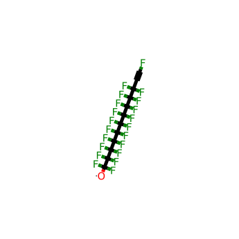 [O]C(F)(F)C(F)(F)C(F)(F)C(F)(F)C(F)(F)C(F)(F)C(F)(F)C(F)(F)C(F)(F)C(F)(F)C#CF